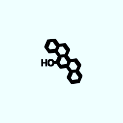 Oc1cc2c3ccccc3ccc2c2ccc3ccccc3c12